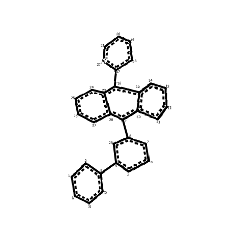 c1ccc(-c2cccc(-c3c4ccccc4c(-c4ccccn4)c4ccccc34)c2)cc1